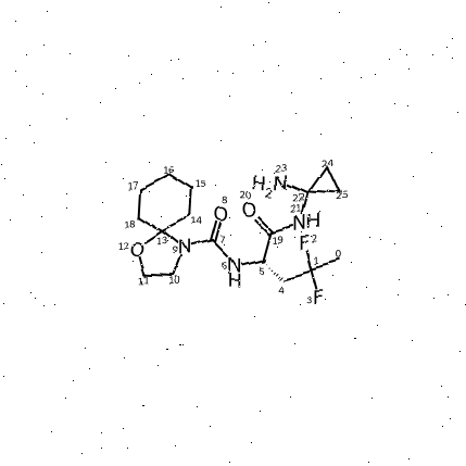 CC(F)(F)C[C@H](NC(=O)N1CCOC12CCCCC2)C(=O)NC1(N)CC1